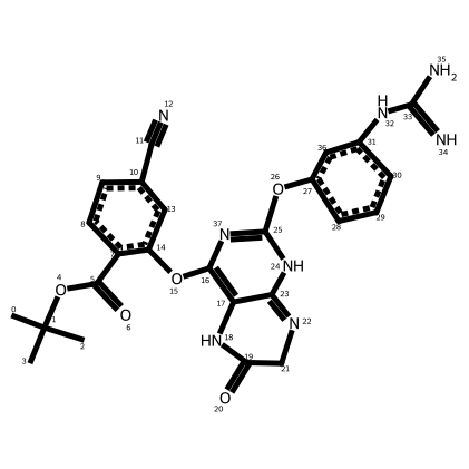 CC(C)(C)OC(=O)c1ccc(C#N)cc1OC1=C2NC(=O)CN=C2NC(Oc2cccc(NC(=N)N)c2)=N1